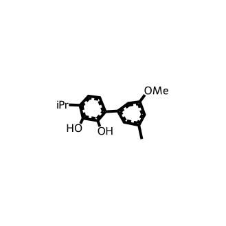 COc1cc(C)cc(-c2ccc(C(C)C)c(O)c2O)c1